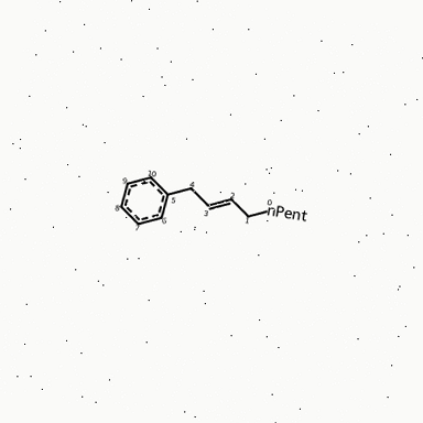 CCCCCC/C=C/Cc1ccccc1